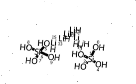 O[Si](O)(O)O.O[Si](O)(O)O.[LiH].[LiH].[LiH].[LiH].[LiH].[LiH]